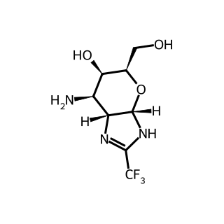 N[C@H]1[C@@H](O)[C@@H](CO)O[C@@H]2NC(C(F)(F)F)=N[C@H]12